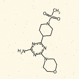 CS(=O)(=O)N1CCC(c2nc(N)nc(N3CCOCC3)n2)CC1